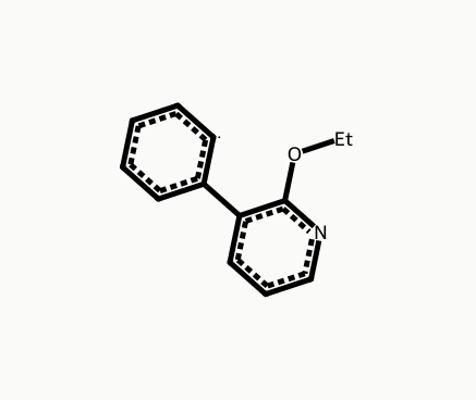 CCOc1ncccc1-c1[c]cccc1